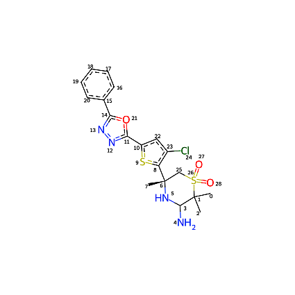 CC1(C)C(N)N[C@](C)(c2sc(-c3nnc(-c4ccccc4)o3)cc2Cl)CS1(=O)=O